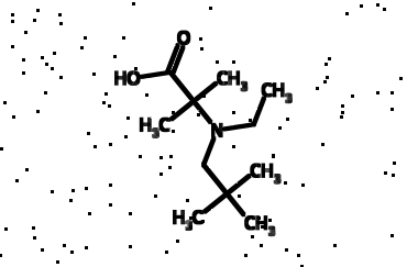 CCN(CC(C)(C)C)C(C)(C)C(=O)O